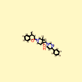 CC(CC(=O)N1CC[C@@](O)(CN2C=CC(c3ccccc3)=NC2)C(C)(C)C1)c1ccccc1